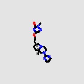 Cn1ncc(OCC[C@@H]2CC[C@H]3CN(c4ncccn4)CCN3C2)nc1=O